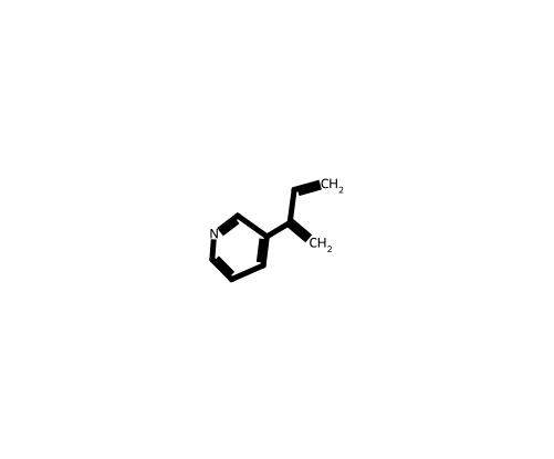 C=CC(=C)c1cccnc1